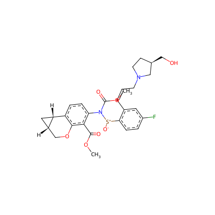 COC(=O)c1c(N(C(=O)OC)[S+]([O-])c2ccc(F)cc2/C=C\CN2CC[C@@H](CO)C2)ccc2c1OC[C@@H]1C[C@H]21